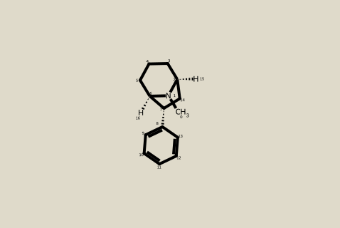 CN1[C@H]2CCC[C@@H]1[C@@H](c1ccccc1)C2